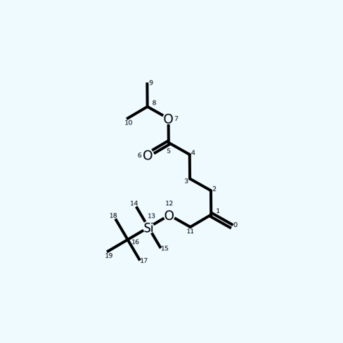 C=C(CCCC(=O)OC(C)C)CO[Si](C)(C)C(C)(C)C